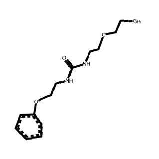 O=C(NCCOCCO)NCCOc1cc[c]cc1